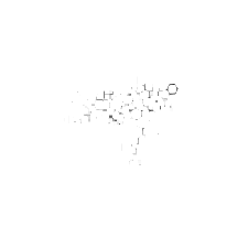 CC[C@@H]1O[C@H](O[C@H]2[C@@H](OC(C)=O)[C@H](O[C@@H]3[C@@H](OC(C)=O)[C@H](CC(=O)[C@H](CCNC(=O)OC(C)(C)C)OC(C)=O)C[C@H](NC(=O)OC(C)(C)C)[C@H]3O[C@H]3O[C@H](CN4C(=O)c5ccccc5C4=O)[C@@H]4O[C@@H]4[C@H]3NC(=O)OC(C)(C)C)O[C@@H]2CC)[C@H](NC(=O)OC(C)(C)C)[C@@H](OC(C)=O)[C@@H]1OC(C)=O